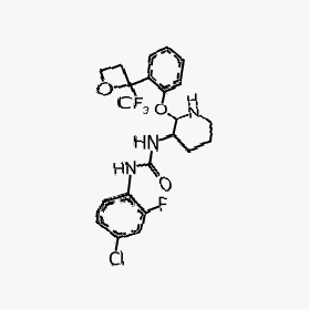 O=C(Nc1ccc(Cl)cc1F)NC1CCCNC1Oc1ccccc1C1(C(F)(F)F)CCO1